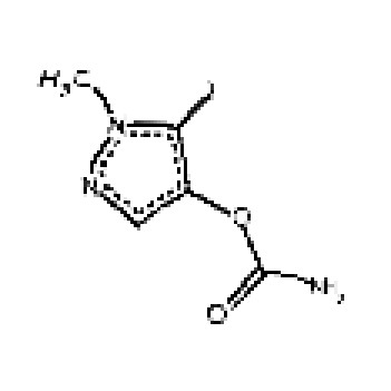 Cn1ncc(OC(N)=O)c1I